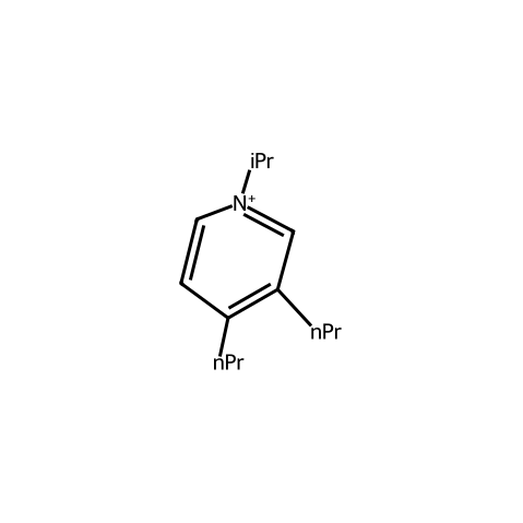 CCCc1cc[n+](C(C)C)cc1CCC